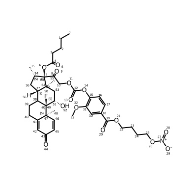 CCCCC(=O)O[C@]1(C(=O)COC(=O)Oc2ccc(C(=O)OCCCCO[N+](=O)[O-])cc2OC)[C@@H](C)C[C@H]2C3CCC4=CC(=O)C=C[C@]4(C)[C@@]3(F)[C@@H](O)C[C@@]21C